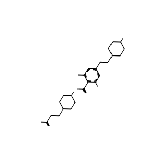 C=C(CC)CCC1CCC(OC(=O)c2c(F)cc(CCC3CCC(CCC)CC3)cc2F)CC1